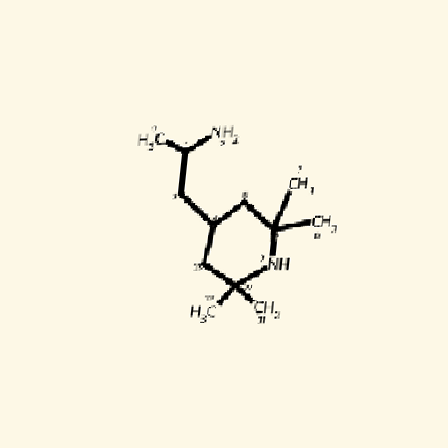 CC(N)CC1CC(C)(C)NC(C)(C)C1